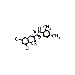 Cc1ccc(NS(=O)(=O)/C(C#N)=C/c2cc(Cl)cc(Cl)c2Cl)c(C)c1